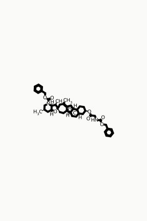 CC1=C2C[C@H]3[C@@H](CC[C@@H]4C[C@H](OC(=O)CNC(=O)OCc5ccccc5)CC[C@@]43C)[C@@H]2CC[C@@]2(C1)O[C@@H]1C[C@H](C)CN(C(=O)OCc3ccccc3)[C@H]1[C@H]2C